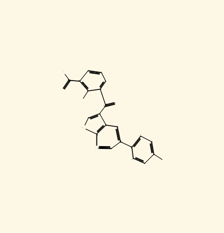 NC(=O)c1cccc(C(=O)c2c[nH]c3ncc(-c4ccc(Cl)cc4)cc23)c1F